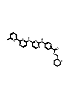 Cc1cccc(-c2nccc(Nc3ccnc(Nc4ccc(C(=O)OC[C@@H]5CCCCN5)nc4)n3)n2)n1